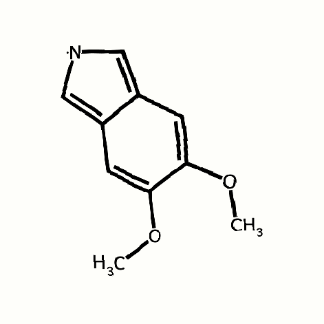 COc1cc2c(cc1OC)=C[N]C=2